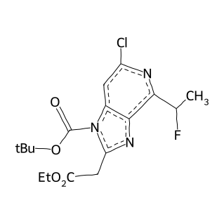 CCOC(=O)Cc1nc2c(C(C)F)nc(Cl)cc2n1C(=O)OC(C)(C)C